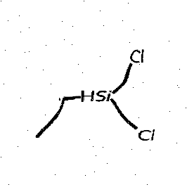 C[CH][SiH](Cl)Cl